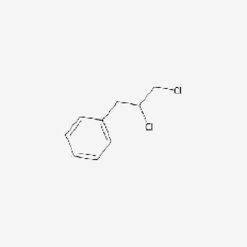 ClCC(Cl)Cc1cc[c]cc1